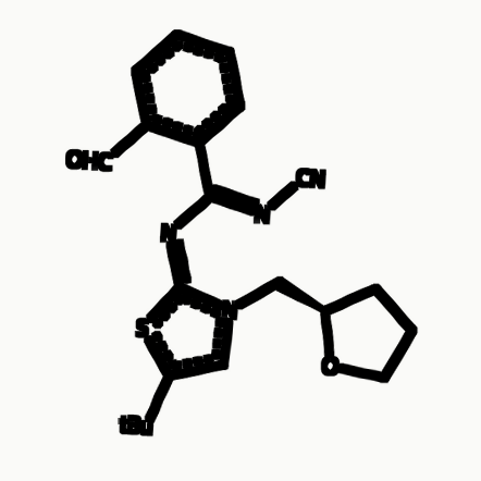 CC(C)(C)c1cn(C[C@H]2CCCO2)c(=NC(=NC#N)c2ccccc2C=O)s1